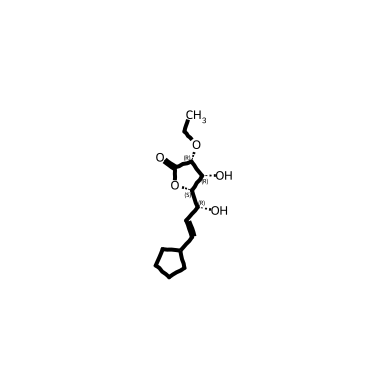 CCO[C@H]1C(=O)O[C@@H]([C@H](O)C=CC2CCCC2)[C@H]1O